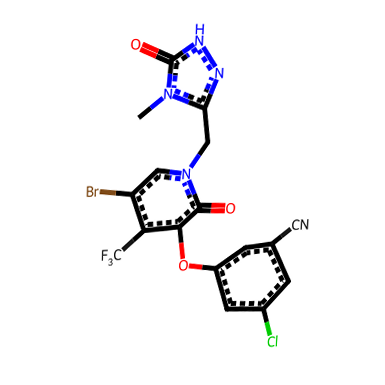 Cn1c(Cn2cc(Br)c(C(F)(F)F)c(Oc3cc(Cl)cc(C#N)c3)c2=O)n[nH]c1=O